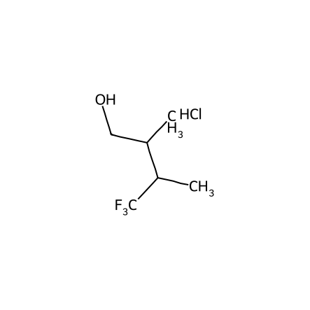 CC(CO)C(C)C(F)(F)F.Cl